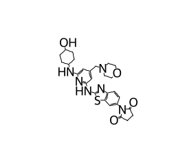 O=C1CCC(=O)N1c1ccc2nc(Nc3cc(CN4CCOCC4)cc(NC4CCC(O)CC4)n3)sc2c1